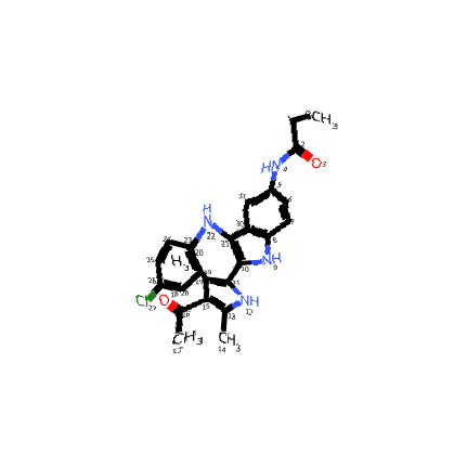 CCC(=O)Nc1ccc2[nH]c(-c3[nH]c(C)c(C(C)=O)c3C)c(Nc3ccc(Cl)cc3)c2c1